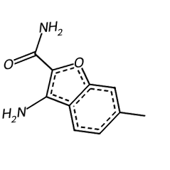 Cc1ccc2c(N)c(C(N)=O)oc2c1